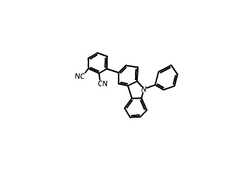 N#Cc1cccc(-c2ccc3c(c2)c2ccccc2n3-c2ccccc2)c1C#N